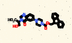 O=C(O)C(CO)n1cnc2ccc(N3CCN(C(=O)OCC4c5ccccc5-c5ccccc54)CC3)cc2c1=O